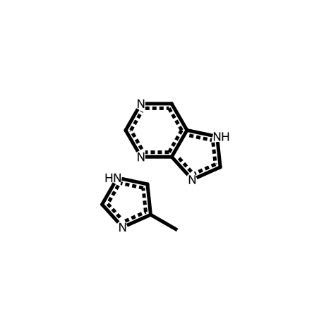 Cc1c[nH]cn1.c1ncc2[nH]cnc2n1